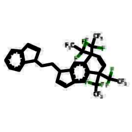 FC(F)(F)C(F)(F)C1(C(F)(F)C(F)(F)F)C=CC(C(F)(F)C(F)(F)F)(C(F)(F)C(F)(F)F)c2cc3c(cc21)C=CC3CCC1C=Cc2ccccc21